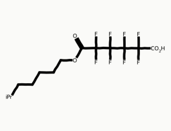 CC(C)CCCCCOC(=O)C(F)(F)C(F)(F)C(F)(F)C(F)(F)C(=O)O